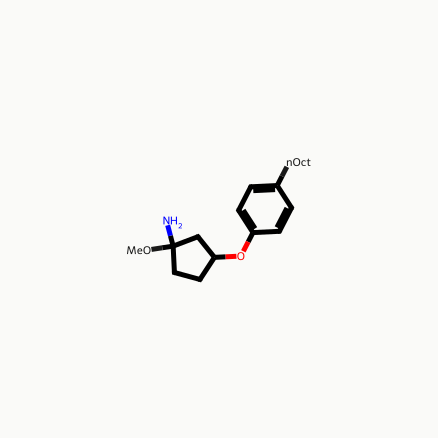 CCCCCCCCc1ccc(OC2CCC(N)(OC)C2)cc1